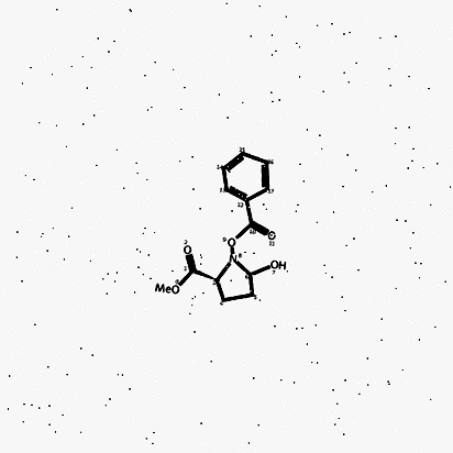 COC(=O)[C@@H]1CCC(O)N1OC(=O)c1ccccc1